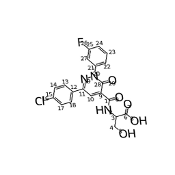 O=C(NC(CO)C(=O)O)c1cc(-c2ccc(Cl)cc2)nn(-c2cccc(F)c2)c1=O